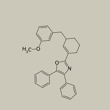 COc1cccc(CC2C=C(c3nc(-c4ccccc4)c(-c4ccccc4)o3)CCC2)c1